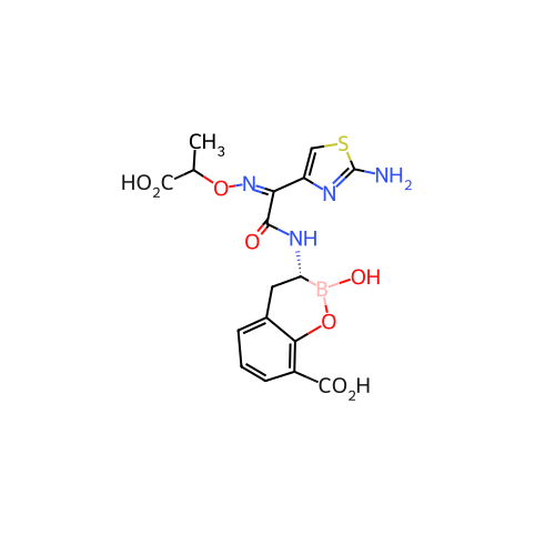 CC(O/N=C(\C(=O)N[C@H]1Cc2cccc(C(=O)O)c2OB1O)c1csc(N)n1)C(=O)O